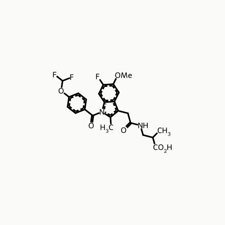 COc1cc2c(CC(=O)NCC(C)C(=O)O)c(C)n(C(=O)c3ccc(OC(F)F)cc3)c2cc1F